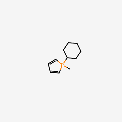 C[P]1(C2CCCCC2)C=CC=C1